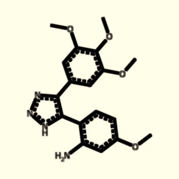 COc1ccc(-c2[nH]nnc2-c2cc(OC)c(OC)c(OC)c2)c(N)c1